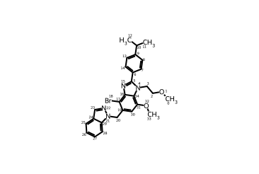 COCCn1c(-c2ccc(C(C)C)cc2)nc2c(Br)c(Cn3ncc4ccccc43)cc(OC)c21